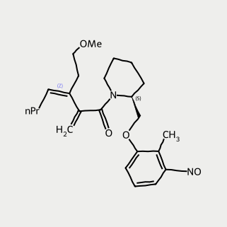 C=C(C(=O)N1CCCC[C@H]1COc1cccc(N=O)c1C)/C(=C\CCC)CCOC